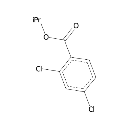 CC(C)OC(=O)c1ccc(Cl)cc1Cl